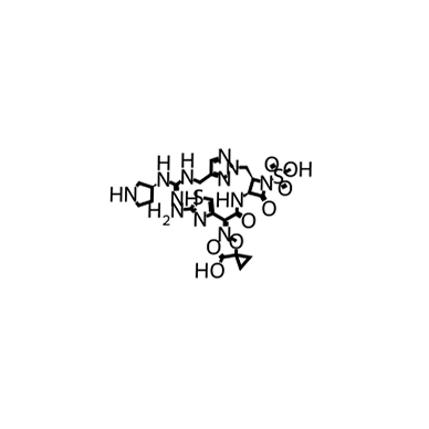 N=C(NCc1cnn(C[C@@H]2[C@H](NC(=O)/C(=N\OC3(C(=O)O)CC3)c3csc(N)n3)C(=O)N2S(=O)(=O)O)n1)N[C@@H]1CCNC1